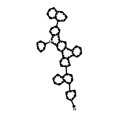 N#Cc1ccc(-c2ccc(-c3ccc4c(c3)c3ccccc3c3cc5c6cc(-c7cccc8ccccc78)ccc6n(-c6ccccc6)c5cc43)c3ccccc23)cc1